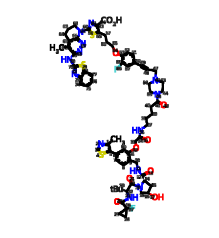 Cc1ncsc1-c1ccc(CNC(=O)[C@@H]2C[C@@H](O)CN2C(=O)[C@@H](NC(=O)C2(F)CC2)C(C)(C)C)c(OCC(=O)NCCCCC(=O)N2CCN(CC#Cc3ccc(OCCCc4sc(N5CCCc6c5nnc(Nc5nc7ccccc7s5)c6C)nc4C(=O)O)c(F)c3)CC2)c1